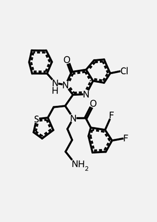 NCCCN(C(=O)c1cccc(F)c1F)C(Cc1cccs1)c1nc2cc(Cl)ccc2c(=O)n1Nc1ccccc1